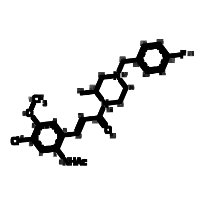 CC(=O)Nc1cc(Cl)c(OC(F)(F)F)cc1/C=C/C(=O)N1CCN(Cc2ccc(F)cc2)CC1C